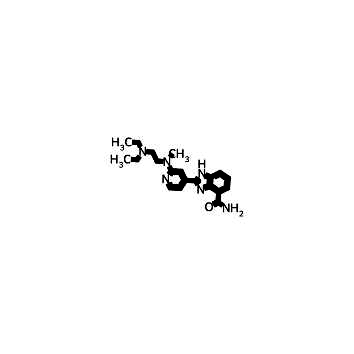 CCN(CC)CCN(C)c1cc(-c2nc3c(C(N)=O)cccc3[nH]2)ccn1